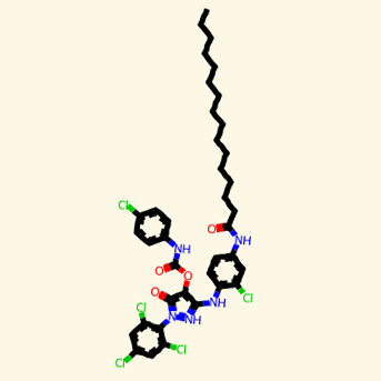 CCCCCCCCCCCCCCCC(=O)Nc1ccc(Nc2[nH]n(-c3c(Cl)cc(Cl)cc3Cl)c(=O)c2OC(=O)Nc2ccc(Cl)cc2)c(Cl)c1